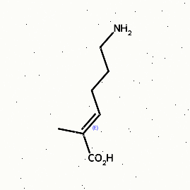 C/C(=C\CCCN)C(=O)O